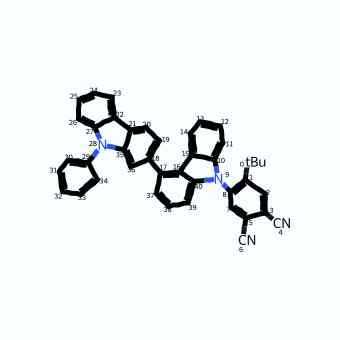 CC(C)(C)c1cc(C#N)c(C#N)cc1-n1c2ccccc2c2c(-c3ccc4c5ccccc5n(-c5ccccc5)c4c3)cccc21